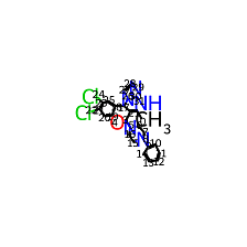 CC1=C(C(=O)N2CCN(c3ccccc3)CC2)C(c2ccc(Cl)c(Cl)c2)n2ccnc2N1